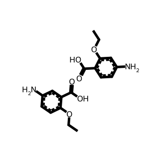 CCOc1cc(N)ccc1C(=O)O.CCOc1ccc(N)cc1C(=O)O